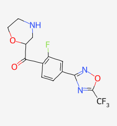 O=C(c1ccc(-c2noc(C(F)(F)F)n2)cc1F)C1CNCCO1